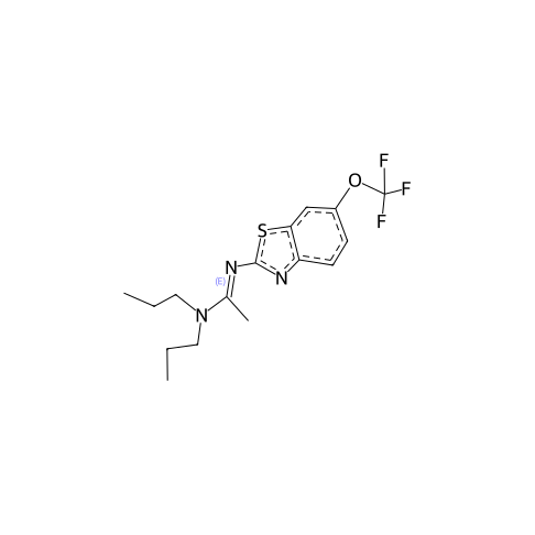 CCCN(CCC)/C(C)=N/c1nc2ccc(OC(F)(F)F)cc2s1